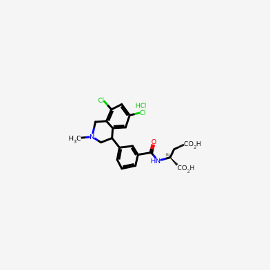 CN1Cc2c(Cl)cc(Cl)cc2C(c2cccc(C(=O)N[C@@H](CC(=O)O)C(=O)O)c2)C1.Cl